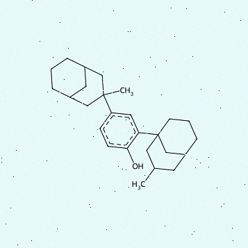 CC1CC2CCCC(c3cc(C4(C)CC5CCCC(C5)C4)ccc3O)(C1)C2